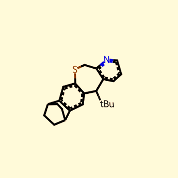 CC(C)(C)C1c2cc3c(cc2SCc2ncccc21)C1CCC3CC1